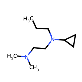 CCCN(CCN(C)C)C1CC1